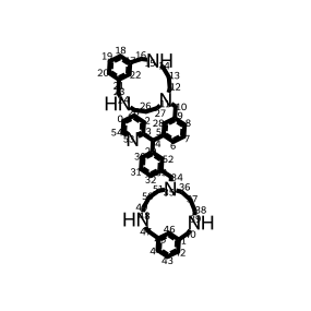 c1ccc(C(c2cccc(CN3CCCNCc4cccc(c4)CNCCC3)c2)c2cccc(CN3CCCNCc4cccc(c4)CNCCC3)c2)nc1